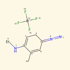 CCNC1=CCC(=[N+]=[N-])C=C1C.F[B-](F)(F)F